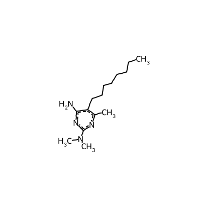 CCCCCCCCc1c(C)nc(N(C)C)nc1N